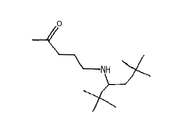 CC(=O)CCCNC(CC(C)(C)C)C(C)(C)C